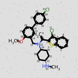 C=C(c1sc2ccccc2c1Cl)N(Cc1cc(-c2ccc(Cl)cc2)ccc1OC)[C@H]1CC[C@H](NC)CC1